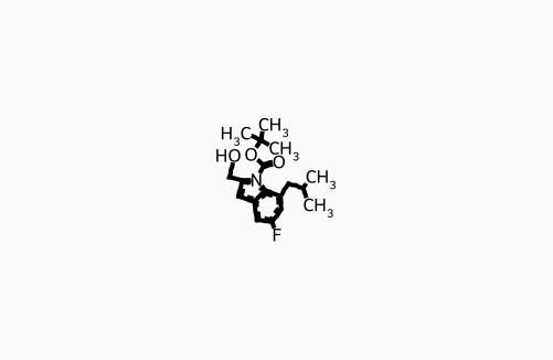 CC(C)Cc1cc(F)cc2cc(CO)n(C(=O)OC(C)(C)C)c12